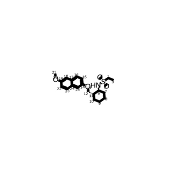 CCS(=O)(=O)N[C@H]1CCCC[C@@H]1COc1ccc2cc(OC)ccc2c1